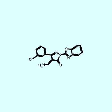 N/C=C1/C(=O)N(c2nc3ccccc3s2)N=C1c1cccc(Br)c1